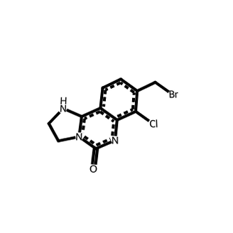 O=c1nc2c(Cl)c(CBr)ccc2c2n1CCN2